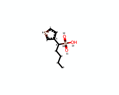 CCCCC(c1ccsc1)S(=O)(=O)O